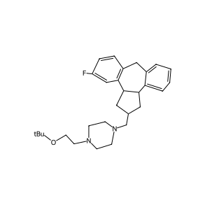 CC(C)(C)OCCN1CCN(CC2CC3c4ccccc4Cc4ccc(F)cc4C3C2)CC1